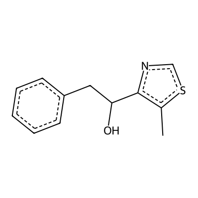 Cc1scnc1C(O)Cc1ccccc1